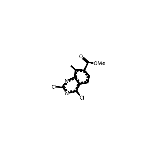 COC(=O)c1ccc2c(Cl)nc(Cl)nc2c1C